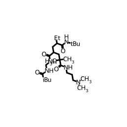 CCC(C)C(=O)NCNC(=O)C(CC(CC)C(=O)NC(C)(C)C)CC(C)(C)C(=O)NCCCN(C)C